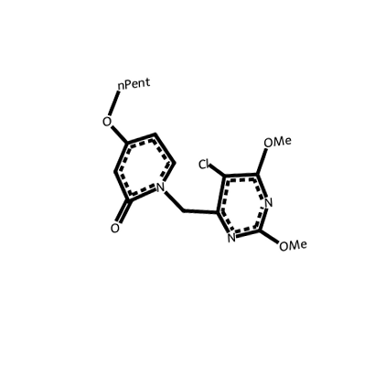 CCCCCOc1ccn(Cc2nc(OC)nc(OC)c2Cl)c(=O)c1